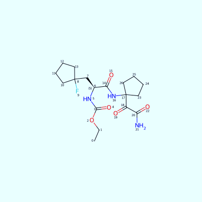 CCOC(=O)N[C@@H](CC1(F)CCCC1)C(=O)NC1(C(=O)C(N)=O)CCCC1